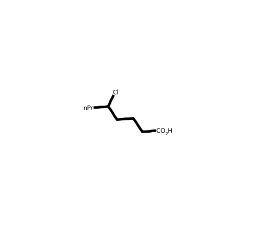 CCCC(Cl)CCCC(=O)O